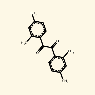 Cc1ccc(C(=O)C(=O)c2ccc(C)cc2C)c(C)c1